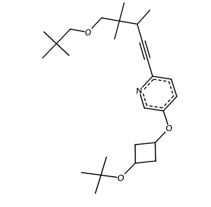 CC(C#Cc1ccc(OC2CC(OC(C)(C)C)C2)cn1)C(C)(C)COCC(C)(C)C